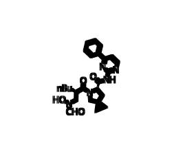 CCCC[C@H](CN(O)C=O)C(=O)N1CC2(CC2)C[C@H]1C(=O)Nc1nccc(-c2ccccc2)n1